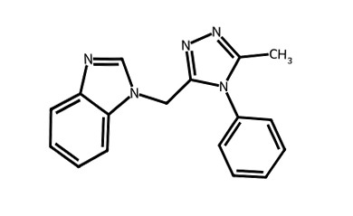 Cc1nnc(Cn2cnc3ccccc32)n1-c1ccccc1